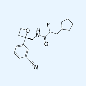 N#Cc1cccc([C@]2(CNC(=O)C(F)CC3CCCC3)CCO2)c1